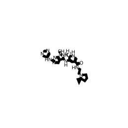 CC1NC=C(C(=O)NCCN2CCCC23CC3)C=C1NC1NN(C)c2nc(Nc3cncnc3)ncc21